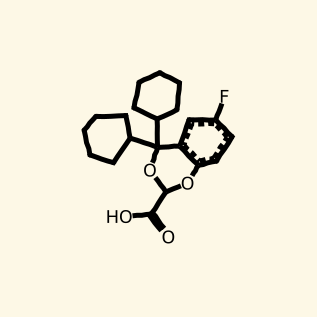 O=C(O)C1Oc2ccc(F)cc2C(C2CCCCC2)(C2CCCCC2)O1